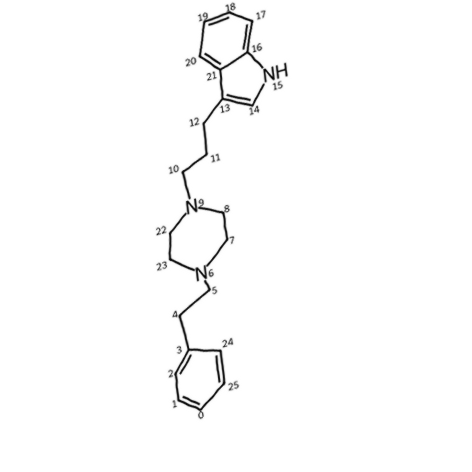 c1ccc(CCN2CCN(CCCc3c[nH]c4ccccc34)CC2)cc1